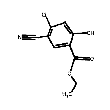 CCOC(=O)c1cc(C#N)c(Cl)cc1O